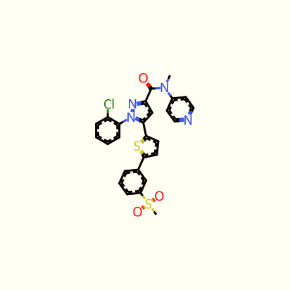 CN(C(=O)c1cc(-c2ccc(-c3cccc(S(C)(=O)=O)c3)s2)n(-c2ccccc2Cl)n1)c1ccncc1